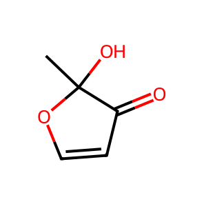 CC1(O)OC=CC1=O